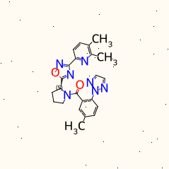 Cc1ccc(-n2nccn2)c(C(=O)N2CCC[C@H]2c2nc(-c3ccc(C)c(C)n3)no2)c1